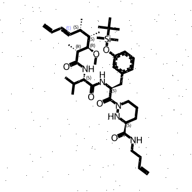 C=C/C=C/[C@H](C)[C@H](C)[C@@H](OC)[C@@H](C)C(=O)N[C@H](C(=O)N[C@@H](Cc1cccc(O[Si](C)(C)C(C)(C)C)c1)C(=O)N1CCC[C@@H](C(=O)NCCC=C)N1)C(C)C